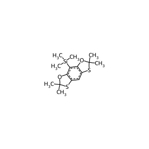 CC1(C)Oc2c(cc3c(c2[Si](C)(C)C)OC(C)(C)S3)S1